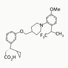 COc1ccc(C(C)C(F)(F)F)c(N2CCC(COc3cccc([C@@H](CC(=O)O)C4CC4)c3)CC2)c1